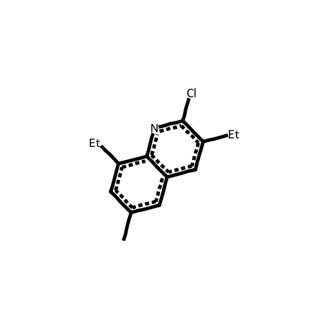 CCc1cc2cc(C)cc(CC)c2nc1Cl